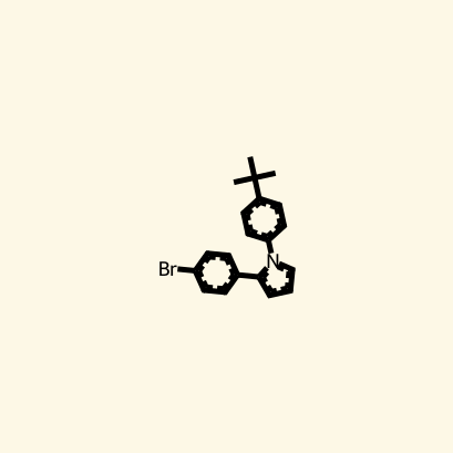 CC(C)(C)c1ccc(-n2cccc2-c2ccc(Br)cc2)cc1